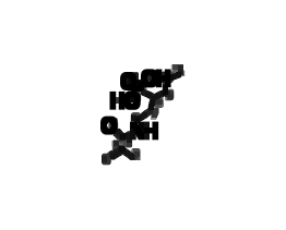 C=C(C)C(=O)NCCC(CCC)P(=O)(O)O